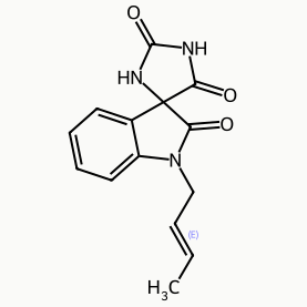 C/C=C/CN1C(=O)C2(NC(=O)NC2=O)c2ccccc21